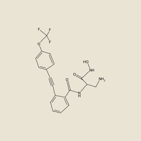 NCC(NC(=O)c1ccccc1C#Cc1ccc(OC(F)(F)F)cc1)C(=O)NO